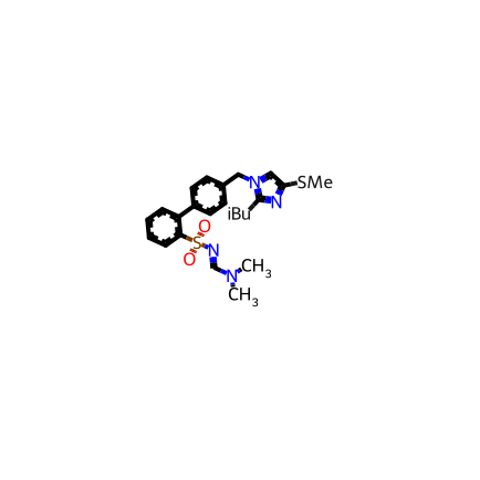 CCC(C)c1nc(SC)cn1Cc1ccc(-c2ccccc2S(=O)(=O)N=CN(C)C)cc1